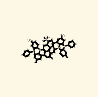 Cc1ccc2c(c1)N(c1ccccc1)c1cc(C(F)(F)F)cc3c1B2c1cc2c(C)cc4c5c(cc6c([Si](C)(C)C)cc-3c1c6c25)B1c2ccc(C(F)(F)F)cc2N(c2ccccc2)c2cc(C)cc-4c21